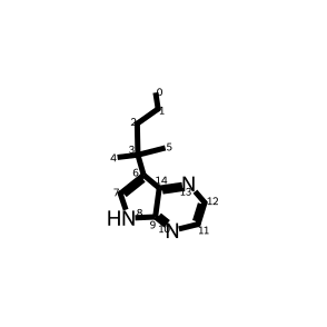 CCCC(C)(C)c1c[nH]c2nccnc12